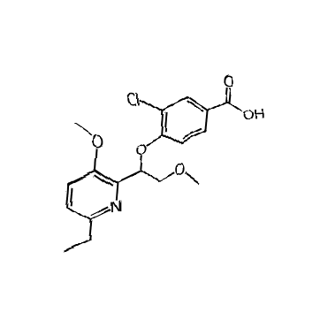 CCc1ccc(OC)c(C(COC)Oc2ccc(C(=O)O)cc2Cl)n1